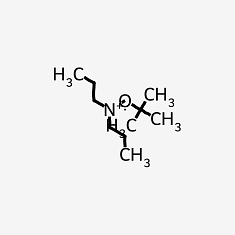 CCC[N+](CCC)OC(C)(C)C